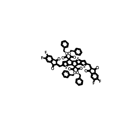 O=C1C(=Cc2cc3c(s2)C2=C(c4sc5cc(C=C6C(=O)c7cc(F)c(F)cc7C6=O)sc5c4C2(C(=O)OCc2ccccc2)C(=O)OCc2ccccc2)C3(C(=O)OCc2ccccc2)C(=O)OCc2ccccc2)C(=O)c2cc(F)c(F)cc21